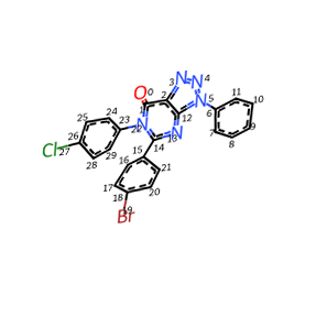 O=c1c2nnn(-c3ccccc3)c2nc(-c2ccc(Br)cc2)n1-c1ccc(Cl)cc1